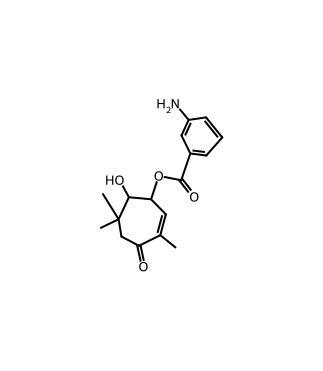 CC1=CC(OC(=O)c2cccc(N)c2)C(O)C(C)(C)CC1=O